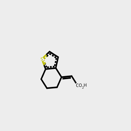 O=C(O)C=C1CCCc2sccc21